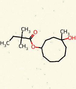 CCC(C)(C)C(=O)OC1CCCCCC(C)(O)CC1